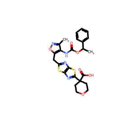 Cc1noc(Cc2nc3sc(C4(C(=O)O)CCOCC4)nc3s2)c1NC(=O)OC(C)c1ccccc1